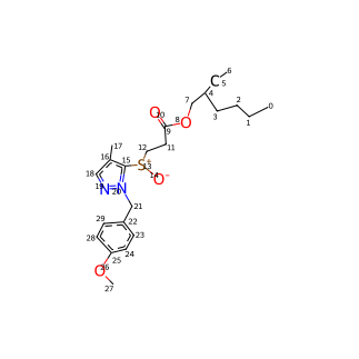 CCCCC(CC)COC(=O)CC[S+]([O-])c1c(C)cnn1Cc1ccc(OC)cc1